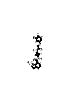 Cn1ncc2cccc(C(=O)NC34CC(NC(=O)COc5ccc(Cl)c(F)c5)(C3)C4)c21